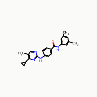 Cc1cc(C)cc(NC(=O)c2ccc(Nc3ncc(C)c(C4CC4)n3)cc2)c1